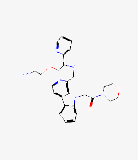 CN(Cc1nccc2c3ccccc3n(CC(=O)N3CCOCC3)c12)C(COCCN)c1ccccn1